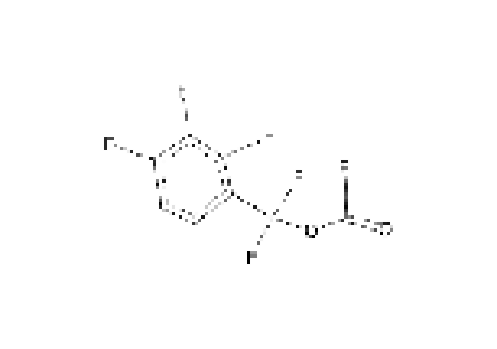 O=C(F)OC(F)(F)c1ccc(F)c(F)c1F